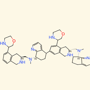 CN(C[C@H]1Cc2c(cc(C3CC[C@H](N(C)C[C@@H]4Cc5c(cccc5C5COCCN5)CN4)c4ncccc43)cc2C2COCCN2)CN1)[C@H]1CCCc2cccnc21